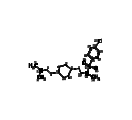 CN(C)CCC1CCC(CCN(C)S(=O)(=O)c2ccc(Cl)cc2)CC1